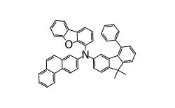 CC1(C)c2ccc(N(c3ccc4c(ccc5ccccc54)c3)c3cccc4c3oc3ccccc34)cc2-c2c(-c3ccccc3)cccc21